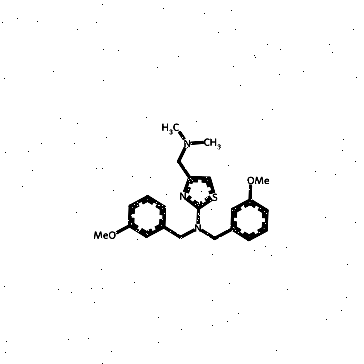 COc1cccc(CN(Cc2cccc(OC)c2)c2nc(CN(C)C)cs2)c1